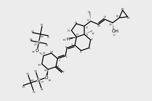 C=C1/C(=C/C=C2\CCC[C@]3(C)C([C@H](C)/C=C/[C@@H](O)C4CC4)CC[C@@H]23)C[C@@H](O[Si](C)(C)C(C)(C)C)C[C@@H]1O[Si](C)(C)C(C)(C)C